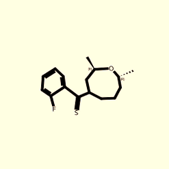 C[C@@H]1CCCC(C(=S)c2ccccc2F)C[C@@H](C)O1